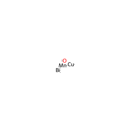 [Bi].[Cu].[Mn].[O]